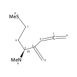 C=C=CC(=C)[C@H](CCSC)NC